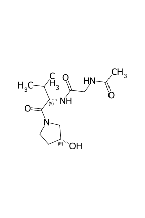 CC(=O)NCC(=O)N[C@H](C(=O)N1CC[C@@H](O)C1)C(C)C